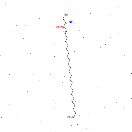 CCCCCCCCCCCCCCCCCCCCCCCCCCCCCCC/C=C/[C@@H](O)[C@@H](N)CO